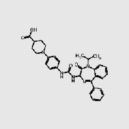 CC(C)N1C(=O)C(NC(=O)Nc2ccc(N3CCC(C(=O)O)CC3)cc2)N=C(c2ccccc2)c2ccccc21